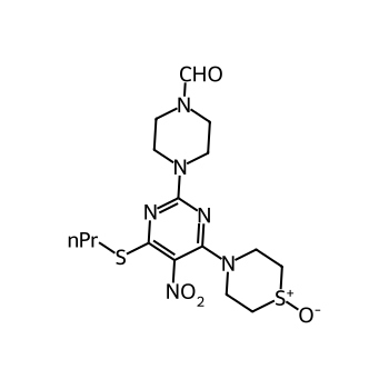 CCCSc1nc(N2CCN(C=O)CC2)nc(N2CC[S+]([O-])CC2)c1[N+](=O)[O-]